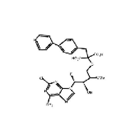 CO[C@H](COC(Cc1ccc(-c2ccncc2)cc1)(C(=O)O)C(=O)O)[C@@H](O)[C@H](F)n1cnc2c(N)nc(Cl)nc21